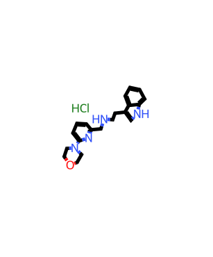 Cl.c1cc(CNCCc2c[nH]c3ccccc23)nc(N2CCOCC2)c1